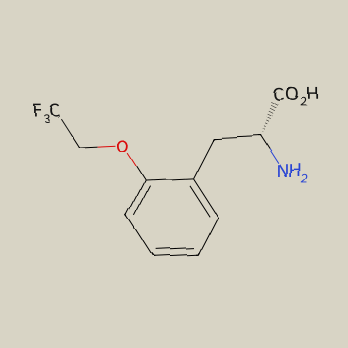 N[C@H](Cc1ccccc1OCC(F)(F)F)C(=O)O